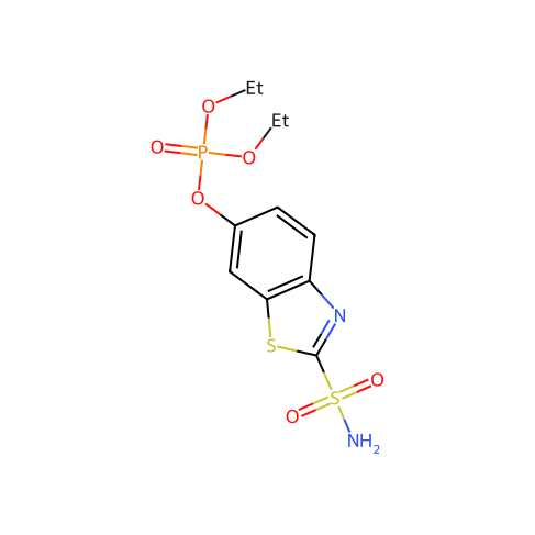 CCOP(=O)(OCC)Oc1ccc2nc(S(N)(=O)=O)sc2c1